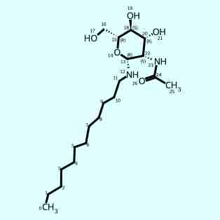 CCCCCCCCCCCCN[C@@H]1O[C@H](CO)[C@@H](O)[C@H](O)[C@@H]1NC(C)=O